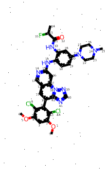 COc1cc(OC)c(Cl)c(-c2cc3cnc(Nc4ccc(N5CCN(C)CC5)cc4NC(=O)C(C)F)cc3n3ncnc23)c1Cl